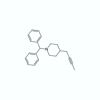 CC#CCC1CCN(C(c2ccccc2)c2ccccc2)CC1